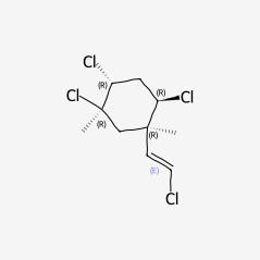 C[C@]1(/C=C/Cl)C[C@@](C)(Cl)[C@H](Cl)C[C@H]1Cl